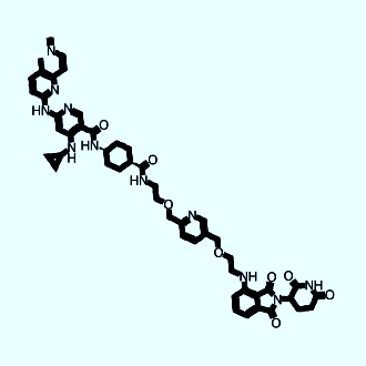 C=N/C=C\c1nc(Nc2cc(NC3CC3)c(C(=O)N[C@H]3CC[C@H](C(=O)NCCOCc4ccc(COCCNc5cccc6c5C(=O)N(C5CCC(=O)NC5=O)C6=O)cn4)CC3)cn2)ccc1C